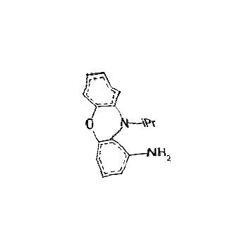 CC(C)N1c2ccccc2Oc2cccc(N)c21